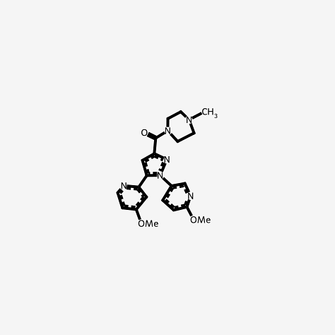 COc1ccnc(-c2cc(C(=O)N3CCN(C)CC3)nn2-c2ccc(OC)nc2)c1